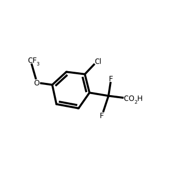 O=C(O)C(F)(F)c1ccc(OC(F)(F)F)cc1Cl